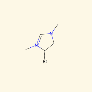 CCC1CN(C)C=[N+]1C